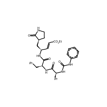 CCOC(=O)/C=C/[C@H](C[C@@H]1CCNC1=O)NC(=O)[C@H](CC(C)C)NC(=O)[C@@H](NC(=O)Nc1ccccc1)C(C)C